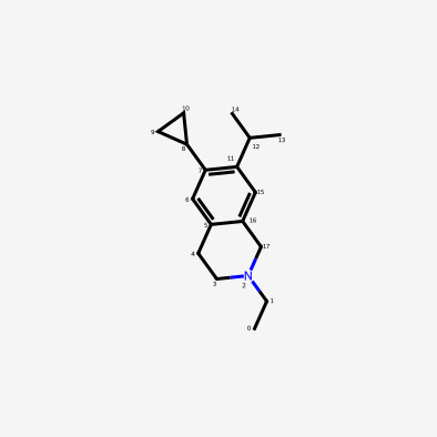 CCN1CCc2cc(C3CC3)c(C(C)C)cc2C1